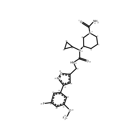 NC(=O)N1CCC[C@@H](N(C(=O)NCc2cc(-c3cc(F)cc(OC(F)(F)F)c3)no2)C2CC2)C1